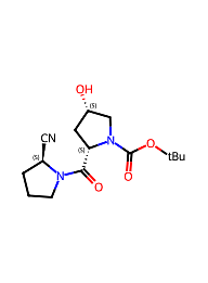 CC(C)(C)OC(=O)N1C[C@@H](O)C[C@H]1C(=O)N1CCC[C@H]1C#N